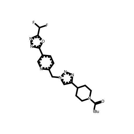 CC(C)(C)C(=O)N1CCC(c2cn(Cc3ccc(-c4nnc(C(F)F)o4)cn3)nn2)CC1